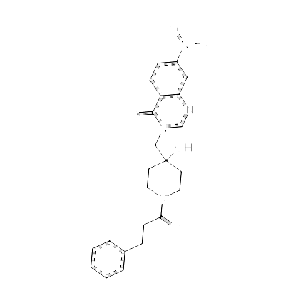 O=C(CCc1ccccc1)N1CCC(O)(Cn2cnc3cc([N+](=O)[O-])ccc3c2=O)CC1